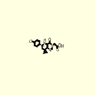 O=C(O)Cn1cnc2c(c1=O)N[C@H](c1ccc(Cl)cc1)CC21CC1